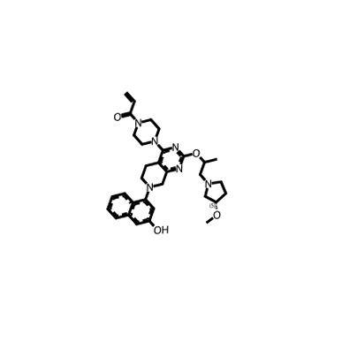 C=CC(=O)N1CCN(c2nc(OC(C)CN3CC[C@H](OC)C3)nc3c2CCN(c2cc(O)cc4ccccc24)C3)CC1